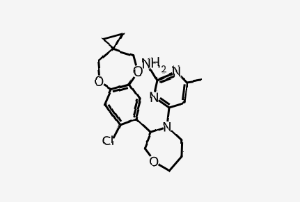 Cc1cc(N2CCCOCC2c2cc3c(cc2Cl)OCC2(CC2)CO3)nc(N)n1